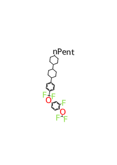 CCCCCC1CCC(C2CCC(c3ccc(C(F)(F)Oc4ccc(OC(F)F)c(F)c4)cc3)CC2)CC1